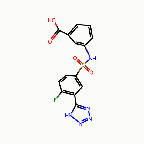 O=C(O)c1cccc(NS(=O)(=O)c2ccc(F)c(-c3nnn[nH]3)c2)c1